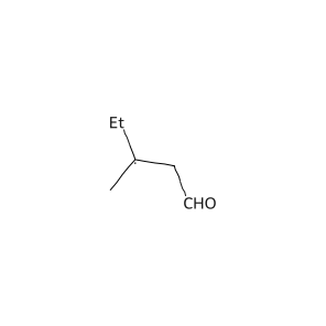 CC[C](C)CC=O